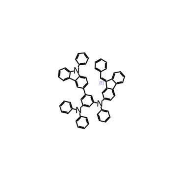 C(=C1/c2ccccc2-c2ccc(N(c3ccccc3)c3cc(-c4ccc5c(c4)c4ccccc4n5-c4ccccc4)cc(N(c4ccccc4)c4ccccc4)c3)cc21)/c1ccccc1